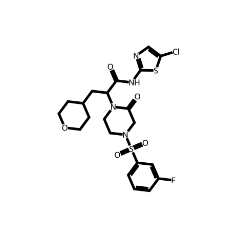 O=C(Nc1ncc(Cl)s1)C(CC1CCOCC1)N1CCN(S(=O)(=O)c2cccc(F)c2)CC1=O